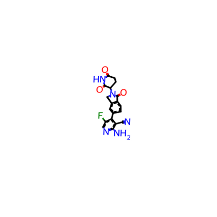 N#Cc1c(N)ncc(F)c1-c1ccc2c(c1)CN(C1CCC(=O)NC1=O)C2=O